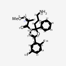 CO/N=C(/C)C(=O)N1N=C(c2cc(F)ccc2F)OC1(CCCN)c1ccccc1